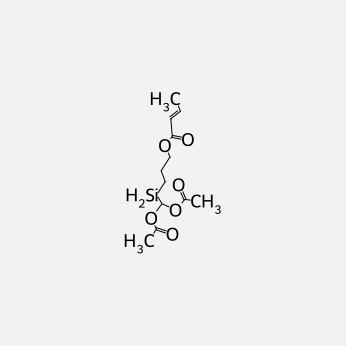 CC=CC(=O)OCCC[SiH2]C(OC(C)=O)OC(C)=O